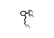 CCCCCC1CCCCC1N(C)C